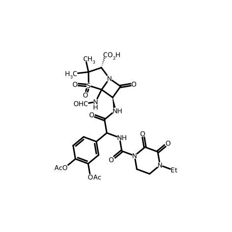 CCN1CCN(C(=O)NC(C(=O)N[C@@H]2C(=O)N3[C@@H](C(=O)O)C(C)(C)S(=O)(=O)C23NC=O)c2ccc(OC(C)=O)c(OC(C)=O)c2)C(=O)C1=O